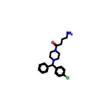 NCCCC(=O)N1CCN(C(c2ccccc2)c2ccc(Cl)cc2)CC1